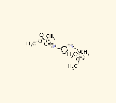 CCOC(=O)C(C)(C)CC/C=C\c1cccc(/C=C/CCC(C)(C)C(=O)OCC)c1